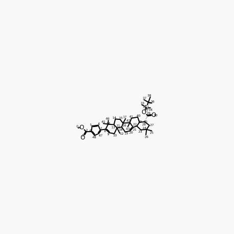 COC(=O)c1ccc(C2=CCC3(C)C(CCC4(C)C3CC=C3C5CC(C)(C)C[C@@H](C(=O)O[Si](C)(C)C(C)(C)C)C5CCC34C)C2(C)C)cc1